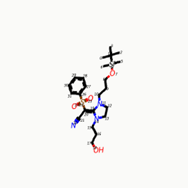 CC(C)(C)[Si](C)(C)OCCCN1CCN(CCCO)/C1=C(\C#N)S(=O)(=O)c1ccccc1